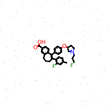 Cc1ccc(C2=C(c3ccc(OC4CCN(CCCF)C4)cc3)c3ccc(C(=O)O)cc3CCC2)c(F)c1